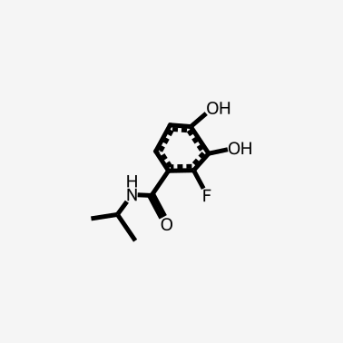 CC(C)NC(=O)c1ccc(O)c(O)c1F